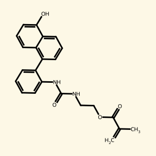 C=C(C)C(=O)OCCNC(=O)Nc1ccccc1-c1cccc2c(O)cccc12